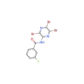 O=C(Nc1nc(Br)c(Br)nc1Br)c1cccc(F)c1